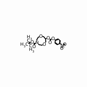 CC(C)(C)OC(=O)N1CCOCC(OC(=O)Oc2ccc([N+](=O)[O-])cc2)COCC1